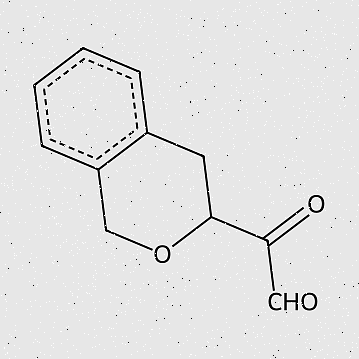 O=CC(=O)C1Cc2ccccc2CO1